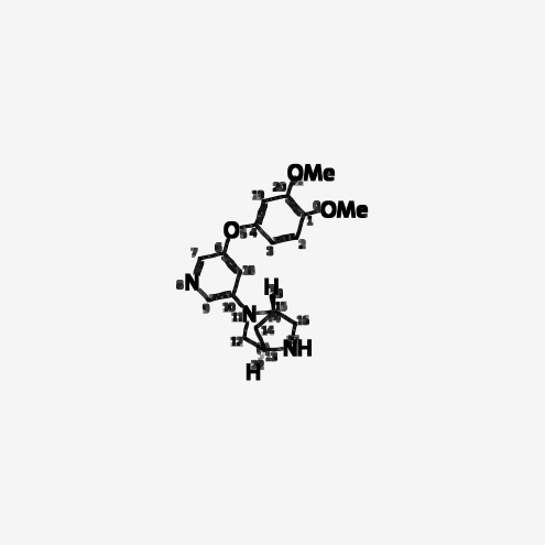 COc1ccc(Oc2cncc(N3C[C@H]4C[C@H]3CN4)c2)cc1OC